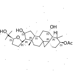 CC(=O)O[C@H]1CC[C@]23CC24CC[C@]2(C)[C@@H]([C@@]5(C)CC[C@@H](C(C)(C)O)O5)[C@@H](O)C[C@@]2(C)C4C[C@H](O)[C@H]3C1(C)C